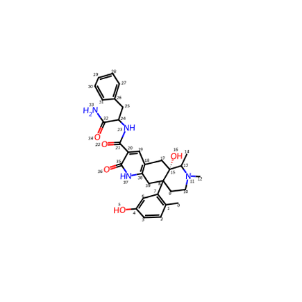 Cc1ccc(O)cc1C12CCN(C)C(C)[C@]1(O)Cc1cc(C(=O)NC(Cc3ccccc3)C(N)=O)c(=O)[nH]c1C2